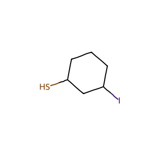 SC1CCCC(I)C1